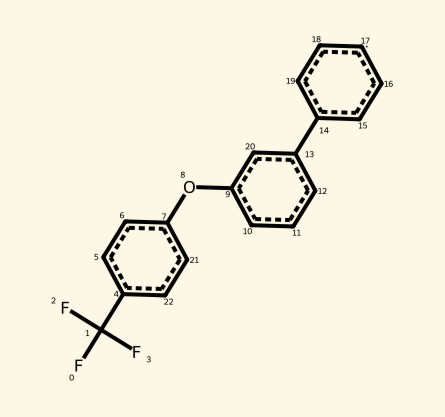 FC(F)(F)c1ccc(Oc2cccc(-c3cc[c]cc3)c2)cc1